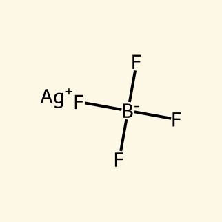 F[B-](F)(F)F.[Ag+]